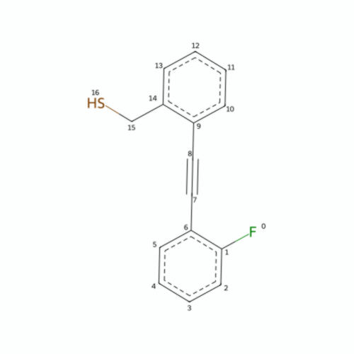 Fc1ccccc1C#Cc1ccccc1CS